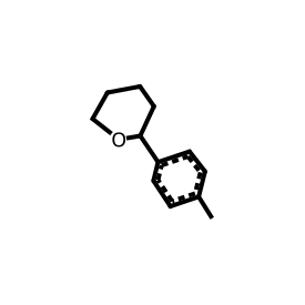 Cc1ccc(C2CCCCO2)cc1